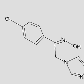 ON=C(Cn1ccnc1)c1ccc(Cl)cc1